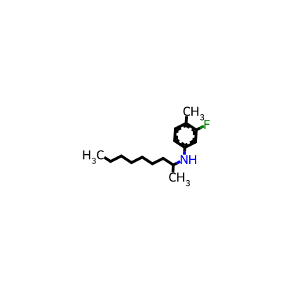 CCCCCCCC(C)Nc1ccc(C)c(F)c1